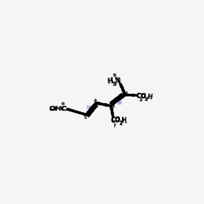 N/C(C(=O)O)=C(\C=C\C=O)C(=O)O